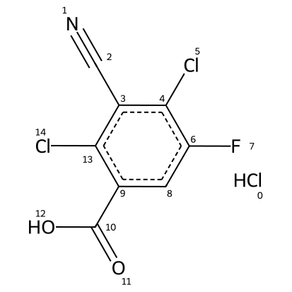 Cl.N#Cc1c(Cl)c(F)cc(C(=O)O)c1Cl